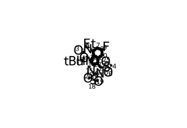 CCN(C(=O)OC(C)(C)C)c1cc(F)cc2c1[nH]c1nc(S(C)(=O)=O)nc(S(C)(=O)=O)c12